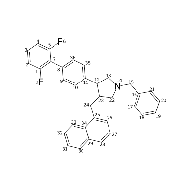 Fc1cccc(F)c1-c1ccc(C2CN(Cc3ccccc3)CC2Cc2cccc3ccccc23)cc1